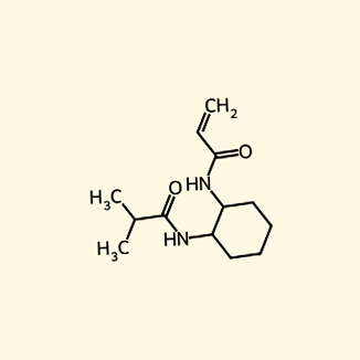 C=CC(=O)NC1CCCCC1NC(=O)C(C)C